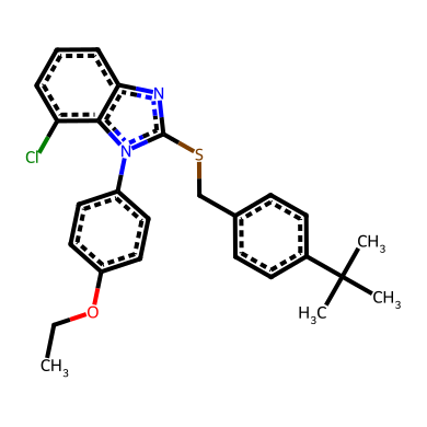 CCOc1ccc(-n2c(SCc3ccc(C(C)(C)C)cc3)nc3cccc(Cl)c32)cc1